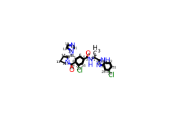 C[C@H](NC(=O)c1ccc(C(=O)N2CCC[C@@H]2Cn2ccnc2)c(Cl)c1)c1nc2cc(Cl)ccc2[nH]1